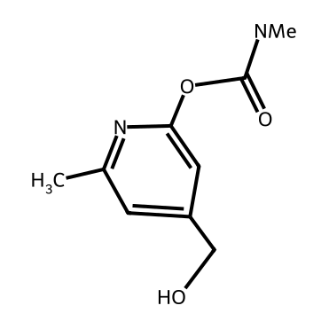 CNC(=O)Oc1cc(CO)cc(C)n1